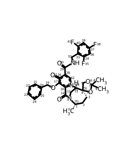 C[C@H]1CC[C@@]2(COC(C)(C)O2)[C@H]2CN1C(=O)c1c(OCc3ccccc3)c(=O)c(C(=O)NCc3c(F)cc(F)cc3F)cn12